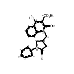 CCOC(=O)c1c(O)c2ccccc2n(CC2CC(=O)N(c3ccccc3)C2)c1=O